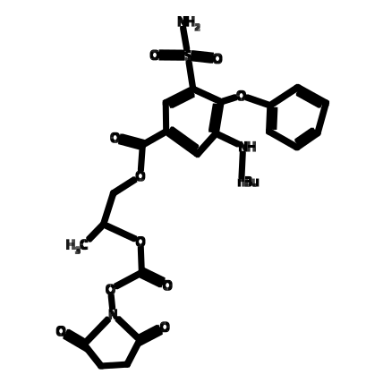 CCCCNc1cc(C(=O)OCC(C)OC(=O)ON2C(=O)CCC2=O)cc(S(N)(=O)=O)c1Oc1ccccc1